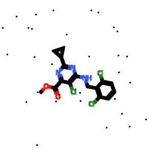 COC(=O)c1nc(C2CC2)nc(NCc2c(Cl)cccc2Cl)c1Cl